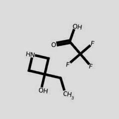 CCC1(O)CNC1.O=C(O)C(F)(F)F